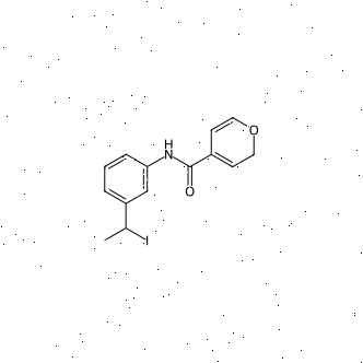 CC(I)c1cccc(NC(=O)C2=CCOC=C2)c1